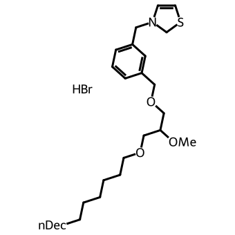 Br.CCCCCCCCCCCCCCCCOCC(COCc1cccc(CN2C=CSC2)c1)OC